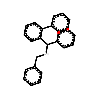 c1ccc(CPC(c2ccccc2)c2ccccc2-c2ccccc2)cc1